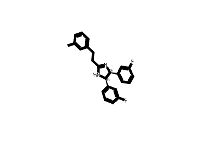 Cc1cccc(CCC2=N[C@@H](c3cccc(F)c3)[C@@H](c3cccc(F)c3)N2)c1